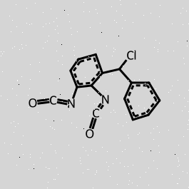 O=C=Nc1cccc(C(Cl)c2ccccc2)c1N=C=O